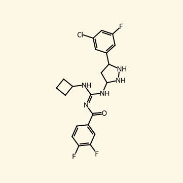 O=C(/N=C(/NC1CCC1)NC1CC(c2cc(F)cc(Cl)c2)NN1)c1ccc(F)c(F)c1